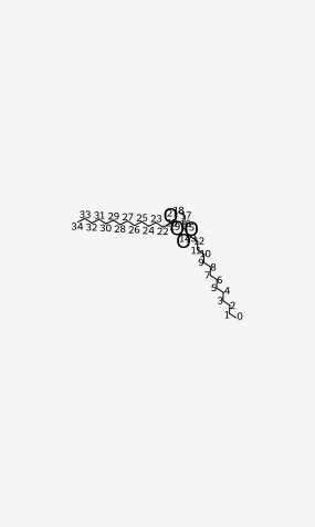 CCCCCCCCCCCCCC(=O)O[C](CC)OC(=O)CCCCCCCCCCCCC